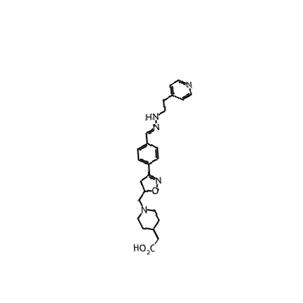 O=C(O)CC1CCN(CC2CC(c3ccc(C=NNCCc4ccncc4)cc3)=NO2)CC1